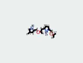 CC1CC(COC(C)CC2CCC(COC(C)C)N2C)N(C)C1